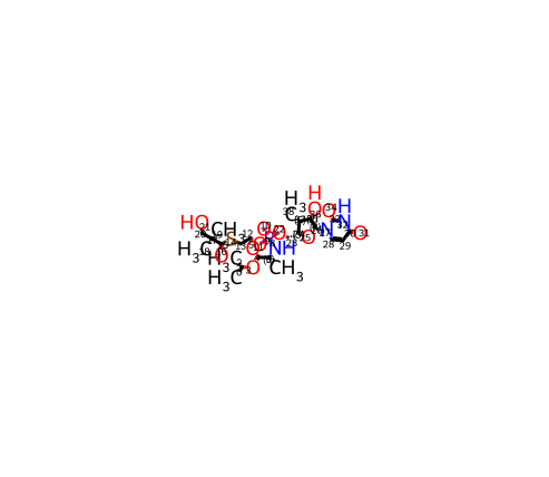 CC(C)OC(=O)[C@H](C)NP(=O)(OCCSC(=O)C(C)(C)CO)OC[C@H]1O[C@@H](n2ccc(=O)[nH]c2=O)[C@H](O)[C@@H]1C